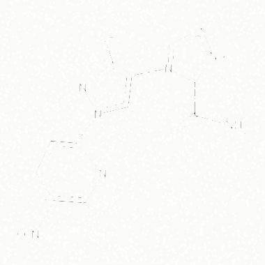 NC(=O)c1nccn1-c1cn(-c2ccc([N+](=O)[O-])cn2)nc1C(F)(F)F